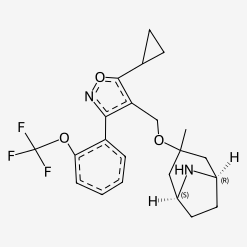 CC1(OCc2c(-c3ccccc3OC(F)(F)F)noc2C2CC2)C[C@H]2CC[C@@H](C1)N2